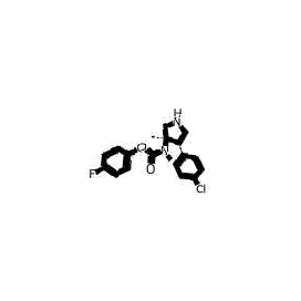 CN(C(=O)Oc1ccc(F)cc1)[C@@]1(C)CNC[C@@H]1c1ccc(Cl)cc1